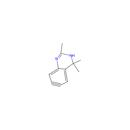 CC1=Nc2cc#ccc2C(C)(C)N1